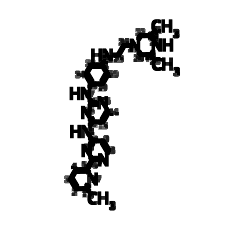 Cc1cccc(-c2nccc(Nc3ccnc(Nc4ccc(NCCN5C[C@@H](C)N[C@@H](C)C5)cc4)n3)n2)n1